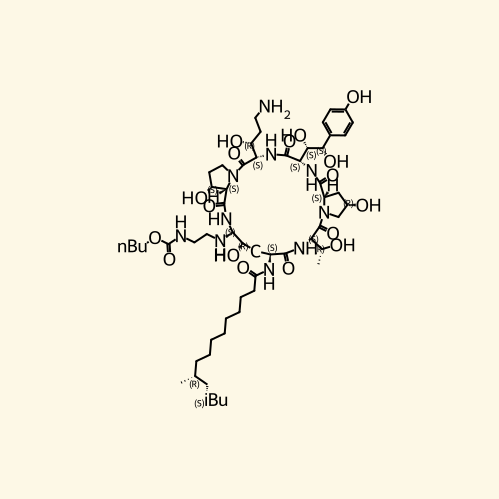 CCCCOC(=O)NCCN[C@H]1NC(=O)[C@@H]2[C@@H](O)CCN2C(=O)[C@H]([C@H](O)CCN)NC(=O)[C@H]([C@H](O)[C@@H](O)c2ccc(O)cc2)NC(=O)[C@@H]2C[C@@H](O)CN2C(=O)[C@H]([C@@H](C)O)NC(=O)[C@@H](NC(=O)CCCCCCCC[C@@H](C)C[C@@H](C)CC)C[C@H]1O